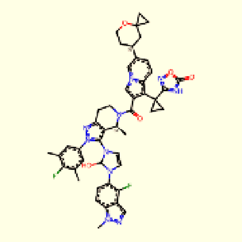 Cc1cc(-n2nc3c(c2N2C=CN(c4ccc5c(cnn5C)c4F)C2O)[C@H](C)N(C(=O)c2cn4cc([C@H]5CCOC6(CC6)C5)ccc4c2C2(c4noc(=O)[nH]4)CC2)CC3)cc(C)c1F